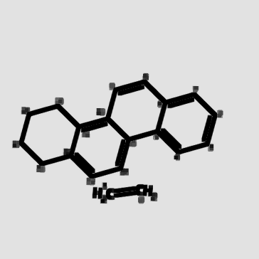 C=C.c1ccc2c(c1)ccc1c3c(ccc12)CCCC3